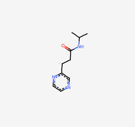 CC(C)NC(=O)CCc1cnccn1